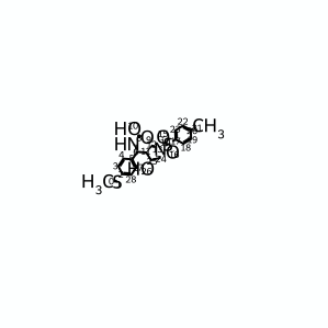 CSc1ccc([C@H](NC(=O)O)[C@H]2CN(S(=O)(=O)c3ccc(C)cc3)C[C@H]2O)cc1